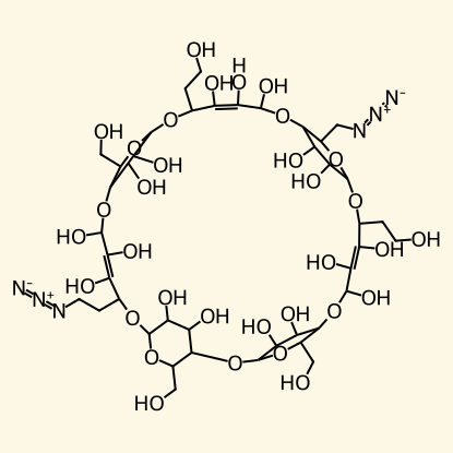 [N-]=[N+]=NCCC1OC2OC(CO)C(OC3OC(CO)C(OC(O)/C(O)=C(\O)C(CCO)OC4OC(CN=[N+]=[N-])C(OC(O)/C(O)=C(/O)C(CCO)OC5OC(CO)C(OC(O)/C(O)=C/1O)C(O)C5O)C(O)C4O)C(O)C3O)C(O)C2O